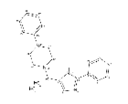 Cl.Cl.c1ccc(-c2ncc(CN3CCN(c4ccccc4)CC3)[nH]2)cc1